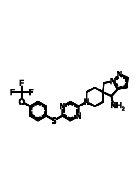 NC1c2ccnn2CC12CCN(c1cnc(Sc3ccc(OC(F)(F)F)cc3)cn1)CC2